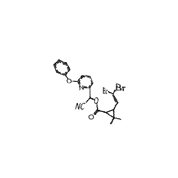 CC1(C)C(C=C(Br)Br)C1C(=O)OC(C#N)c1cccc(Oc2ccccc2)n1